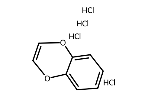 C1=COc2ccccc2O1.Cl.Cl.Cl.Cl